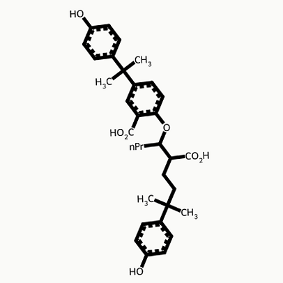 CCCC(Oc1ccc(C(C)(C)c2ccc(O)cc2)cc1C(=O)O)C(CCC(C)(C)c1ccc(O)cc1)C(=O)O